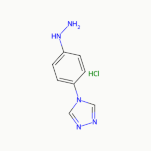 Cl.NNc1ccc(-n2cnnc2)cc1